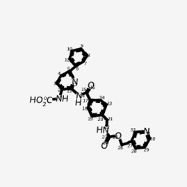 O=C(O)Nc1ccc(-c2ccccc2)nc1NC(=O)c1ccc(CNC(=O)OCc2cccnc2)cc1